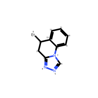 CCC1Cc2nncn2-c2ccccc21